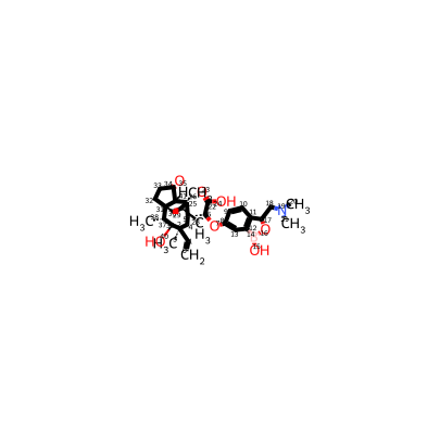 C=C[C@]1(C)C[C@@H](C(Oc2ccc3c(c2)B(O)OC3CN(C)C)C(=O)O)[C@@]2(C)[C@H](C)CC[C@]3(CCC(=O)[C@H]32)[C@@H](C)[C@@H]1O